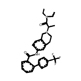 CCN(CC)C(=O)C(C)N1CCc2cc(NC(=O)c3ccccc3-c3ccc(C(F)(F)F)cc3)ccc2C1